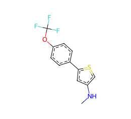 CNc1csc(-c2ccc(OC(F)(F)F)cc2)c1